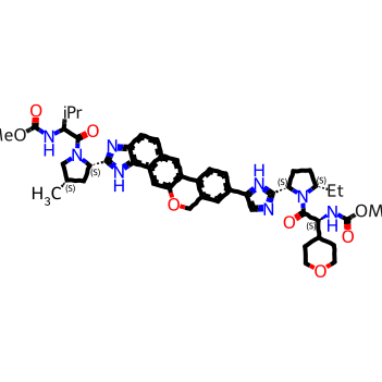 CC[C@H]1CC[C@@H](c2ncc(-c3ccc4c(c3)COc3cc5c(ccc6nc([C@@H]7C[C@H](C)CN7C(=O)C(NC(=O)OC)C(C)C)[nH]c65)cc3-4)[nH]2)N1C(=O)[C@@H](NC(=O)OC)C1CCOCC1